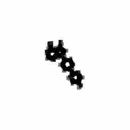 Fc1cnc(N2CCC(n3cc(F)c4c(Cl)ncnc43)CC2)nc1